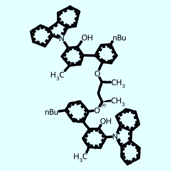 CCCCc1ccc(OC(C)C[C@@H](C)Oc2ccc(CCCC)cc2-c2cc(C)cc(-n3c4ccccc4c4ccccc43)c2O)c(-c2cc(C)cc(-n3c4ccccc4c4ccccc43)c2O)c1